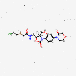 O=C(CSCCCl)NC[C@@H]1OC(=O)N2c3ccc(N4CCOCC4=O)cc3OC[C@@H]12